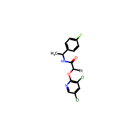 CCC(Oc1ncc(Cl)cc1Cl)C(=O)NC(C)c1ccc(F)cc1